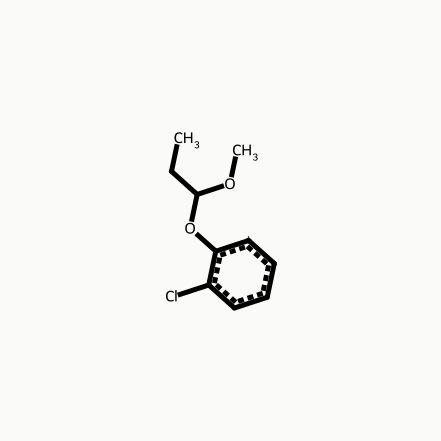 CCC(OC)Oc1[c]cccc1Cl